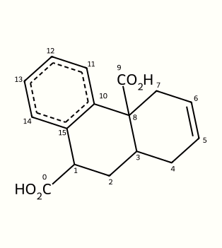 O=C(O)C1CC2CC=CCC2(C(=O)O)c2ccccc21